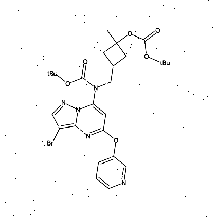 CC(C)(C)OC(=O)OC1(C)CC(CN(C(=O)OC(C)(C)C)c2cc(Oc3cccnc3)nc3c(Br)cnn23)C1